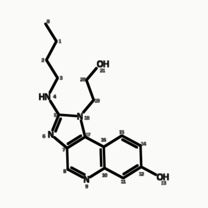 CCCCNc1nc2cnc3cc(O)ccc3c2n1CCO